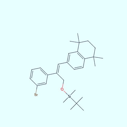 CC1(C)CCC(C)(C)c2cc(/C=C(\CO[Si](C)(C)C(C)(C)C)c3cccc(Br)c3)ccc21